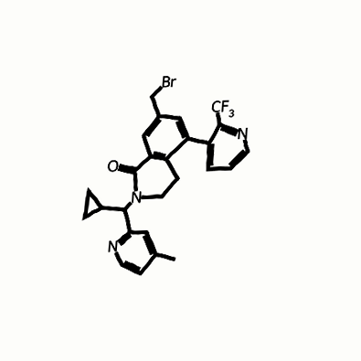 Cc1ccnc(C(C2CC2)N2CCc3c(cc(CBr)cc3-c3cccnc3C(F)(F)F)C2=O)c1